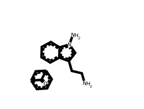 NCCc1cn(N)c2ccccc12.O=C1c2cccc1c2